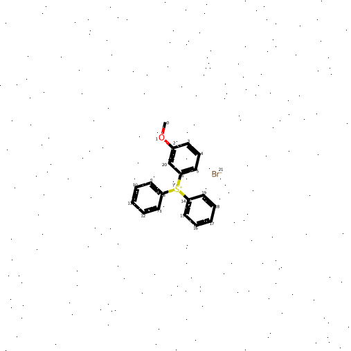 COc1cccc([S+](c2ccccc2)c2ccccc2)c1.[Br-]